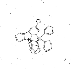 Clc1cc([Si](c2ccccc2)(c2ccccc2)c2ccccc2)c2c(c1)c1ccccc1n2-c1ccccc1